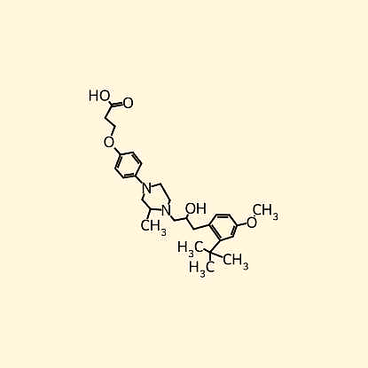 COc1ccc(CC(O)CN2CCN(c3ccc(OCCC(=O)O)cc3)CC2C)c(C(C)(C)C)c1